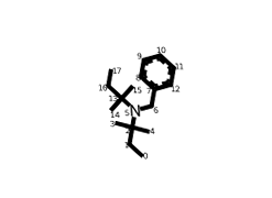 CCC(C)(C)N(Cc1ccccc1)C(C)(C)CC